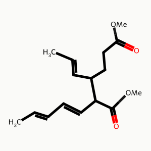 CC=CC=CC(C(=O)OC)C(C=CC)CCC(=O)OC